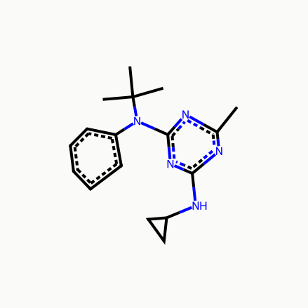 Cc1nc(NC2CC2)nc(N(c2ccccc2)C(C)(C)C)n1